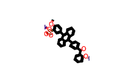 COc1ccc(-c2c3ccccc3c(-c3ccc(C(=O)c4ccccc4OI)cc3)c3ccccc23)cc1S(=O)(=O)OI